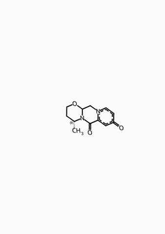 C[C@@H]1CCOC2Cn3ccc(=O)cc3C(=O)N21